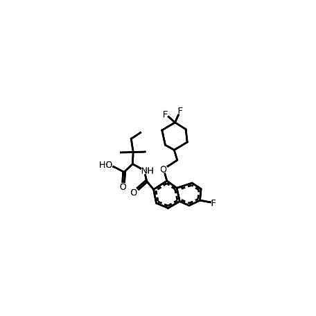 CCC(C)(C)C(NC(=O)c1ccc2cc(F)ccc2c1OCC1CCC(F)(F)CC1)C(=O)O